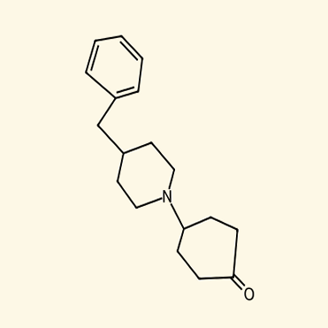 O=C1CCC(N2CCC(Cc3ccccc3)CC2)CC1